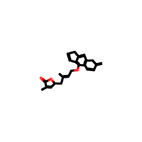 C=C1C=Cc2c(cc3c(c2OC/C=C(\C)CC2C=C(C)C(=O)O2)C=CC3)C1